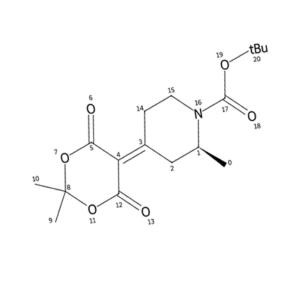 C[C@H]1CC(=C2C(=O)OC(C)(C)OC2=O)CCN1C(=O)OC(C)(C)C